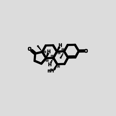 CCC[C@@H]1CC2=CC(=O)CC[C@]2(C)[C@H]2CC[C@]3(C)C(=O)CC[C@H]3[C@H]12